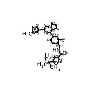 Cn1cc(-c2cn3nccc3c(-c3ccc(CNC(=O)c4noc(C(C)(C)C)n4)c(F)c3)n2)cn1